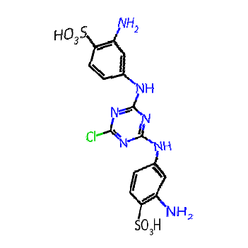 Nc1cc(Nc2nc(Cl)nc(Nc3ccc(S(=O)(=O)O)c(N)c3)n2)ccc1S(=O)(=O)O